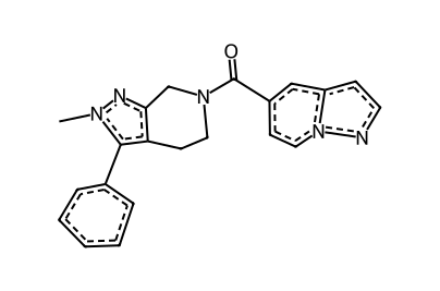 Cn1nc2c(c1-c1ccccc1)CCN(C(=O)c1ccn3nccc3c1)C2